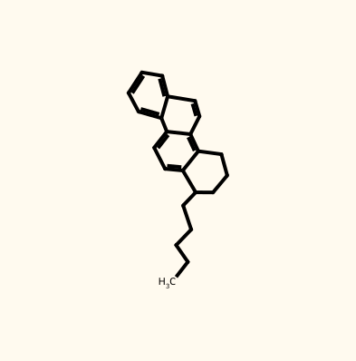 CCCCCC1CCCc2c1ccc1c2ccc2ccccc21